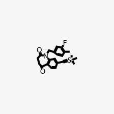 Cc1ccc(CN2C(=O)CCC(=O)c3ccc(C#C[Si](C)(C)C)cc32)cc1F